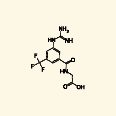 N=C(N)Nc1cc(C(=O)NCC(=O)O)cc(C(F)(F)F)c1